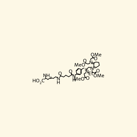 CCN(CC(=O)OC)[C@H](Cc1ccc(NC(=O)CCCC(=O)NCCCCC(N)C(=O)O)cc1)CN(CC(=O)OC)[C@H]1CCCC[C@@H]1N(CC(=O)OC)CC(=O)OC